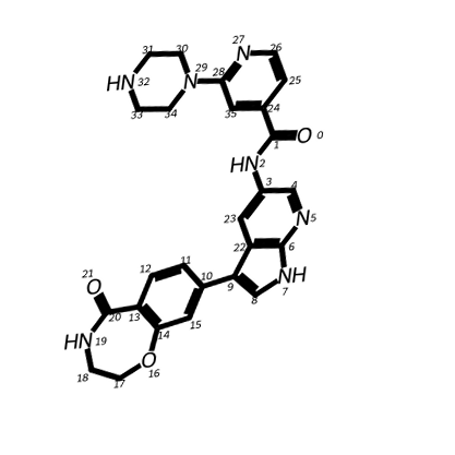 O=C(Nc1cnc2[nH]cc(-c3ccc4c(c3)OCCNC4=O)c2c1)c1ccnc(N2CCNCC2)c1